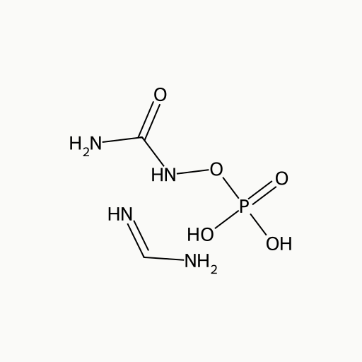 N=CN.NC(=O)NOP(=O)(O)O